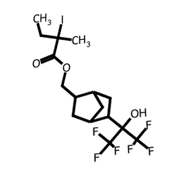 CCC(C)(I)C(=O)OCC1CC2CC1CC2C(O)(C(F)(F)F)C(F)(F)F